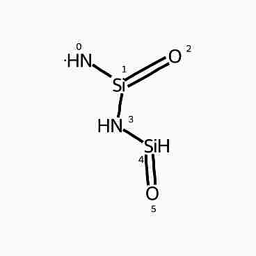 [NH][Si](=O)N[SiH]=O